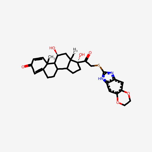 CC12C=CC(=O)C=C1CCC1C2[C@@H](O)CC2(C)C1CC[C@]2(O)C(=O)CSc1nc2cc3c(cc2[nH]1)OCCO3